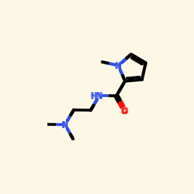 CN(C)CCNC(=O)c1cccn1C